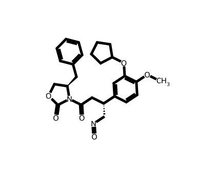 COc1ccc([C@H](CN=O)CC(=O)N2C(=O)OC[C@H]2Cc2ccccc2)cc1OC1CCCC1